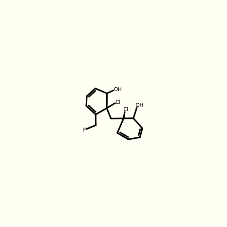 OC1C=CC=CC1(Cl)CC1(Cl)C(CF)=CC=CC1O